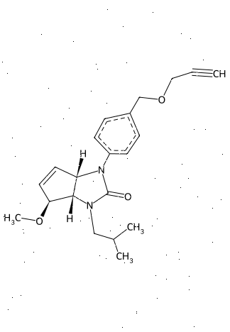 C#CCOCc1ccc(N2C(=O)N(CC(C)C)[C@@H]3[C@@H](OC)C=C[C@@H]32)cc1